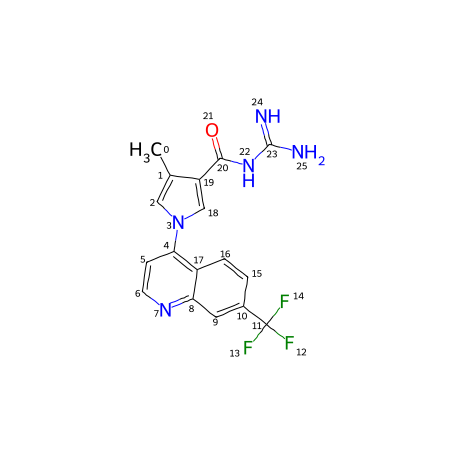 Cc1cn(-c2ccnc3cc(C(F)(F)F)ccc23)cc1C(=O)NC(=N)N